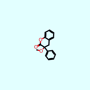 COC1(c2ccccc2)Cc2ccccc2OC1=O